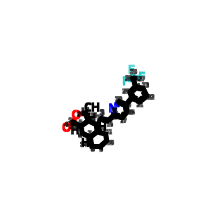 C[C@H]1OC(=O)[C@@H]2C[C@@H]3CCCC[C@H]3[C@H](C=Cc3ccc(-c4cccc(C(F)(F)F)c4)cn3)[C@H]12